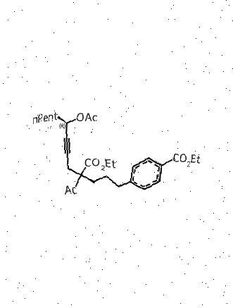 CCCCC[C@H](C#CCC(CCCc1ccc(C(=O)OCC)cc1)(C(C)=O)C(=O)OCC)OC(C)=O